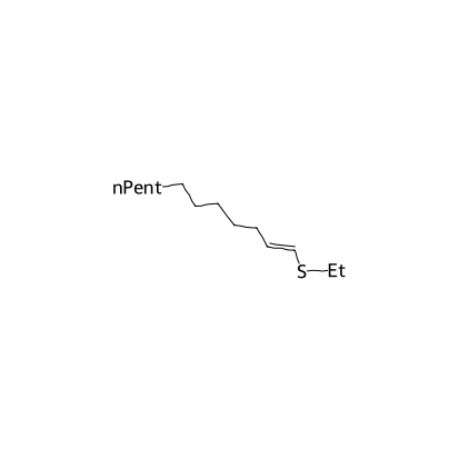 CCCCCCCCCCC=CSCC